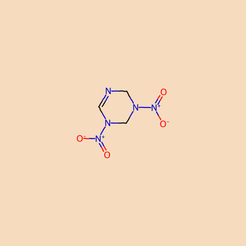 O=[N+]([O-])N1C=NCN([N+](=O)[O-])C1